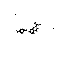 COc1ccc(COc2ccc3c(n2)CN(C(=O)O)CC3)nc1